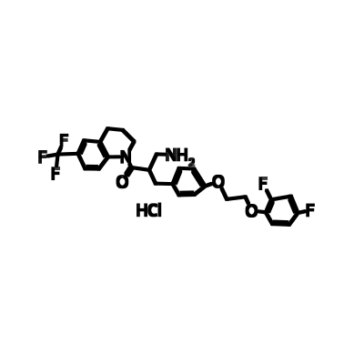 Cl.NCC(Cc1ccc(OCCOc2ccc(F)cc2F)cc1)C(=O)N1CCCc2cc(C(F)(F)F)ccc21